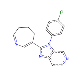 Clc1ccc(-n2c(C3=CN=CCCC3)nc3ccncc32)cc1